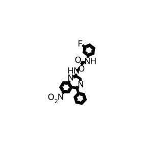 O=C(Nc1cccc(F)c1)ONC1=Nc2ccc([N+](=O)[O-])cc2C(c2ccccc2)=NC1